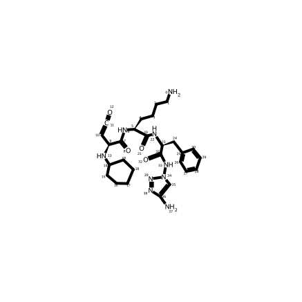 NCCCC[C@H](NC(=O)[C@H](C=C=O)NC1CCCCC1)C(=O)N[C@@H](Cc1ccccc1)C(=O)Nn1cc(N)nn1